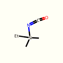 CC[Si](C)(C)N=C=O